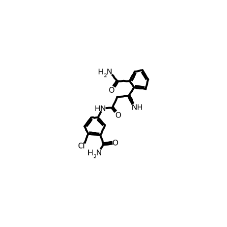 N=C(CC(=O)Nc1ccc(Cl)c(C(N)=O)c1)c1ccccc1C(N)=O